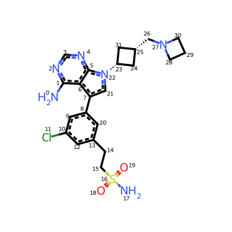 Nc1ncnc2c1c(-c1cc(Cl)cc(CCS(N)(=O)=O)c1)cn2[C@H]1C[C@@H](CN2CCC2)C1